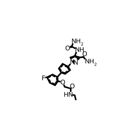 CCNC(=O)COc1ccc(F)cc1-c1ccc(-n2cc(NC(N)=O)c(C(N)=O)n2)cc1